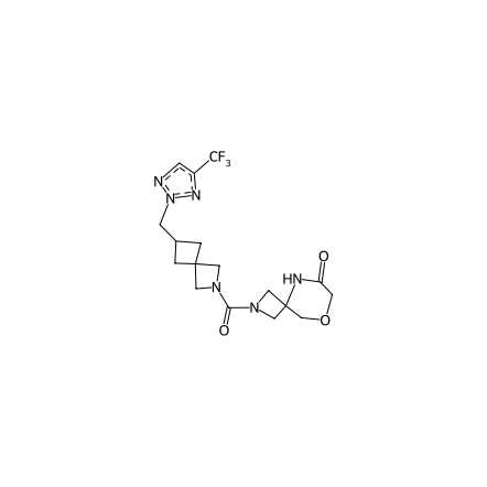 O=C1COCC2(CN(C(=O)N3CC4(CC(Cn5ncc(C(F)(F)F)n5)C4)C3)C2)N1